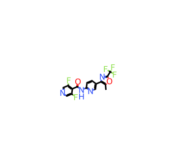 Cc1oc(C(F)(F)F)nc1-c1ccc(NC(=O)c2c(F)cncc2F)nc1